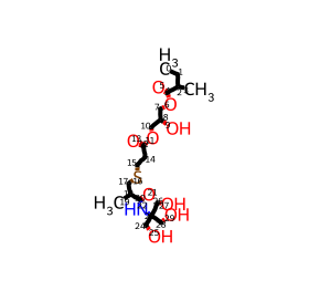 CCC(C)C(=O)OCC(O)COC(=O)CCSCC(C)C(=O)NC(CO)(CO)CO